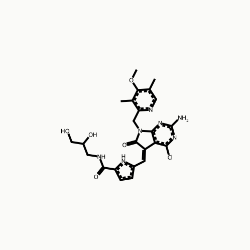 COc1c(C)cnc(CN2C(=O)C(=Cc3ccc(C(=O)NCC(O)CO)[nH]3)c3c(Cl)nc(N)nc32)c1C